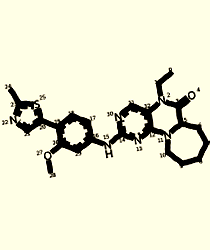 CCN1C(=O)C2CCCCCN2c2nc(Nc3ccc(-c4cnc(C)s4)c(OC)c3)ncc21